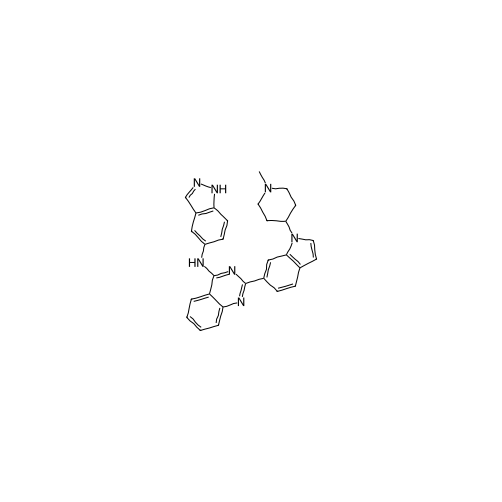 CN1CCC(n2ccc3ccc(-c4nc(Nc5ccc6[nH]ncc6c5)c5ccccc5n4)cc32)CC1